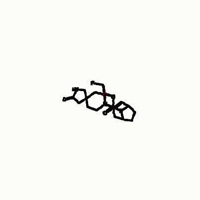 O=C1CC2(CCN(C3=CC4CCC(C3)N4C(=O)OCCF)CC2)CN1